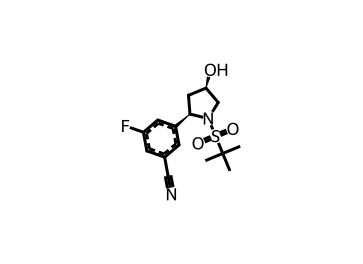 CC(C)(C)S(=O)(=O)N1C[C@H](O)C[C@@H]1c1cc(F)cc(C#N)c1